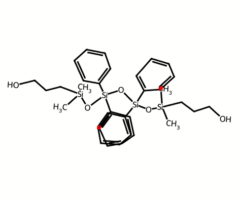 C[Si](C)(CCCO)O[Si](O[Si](O[Si](C)(C)CCCO)(c1ccccc1)c1ccccc1)(c1ccccc1)c1ccccc1